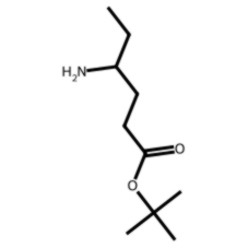 CCC(N)CCC(=O)OC(C)(C)C